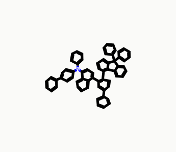 c1ccc(-c2ccc(N(c3ccccc3)c3ccc(-c4cc(-c5ccccc5)ccc4-c4cccc5c4-c4ccccc4C5(c4ccccc4)c4ccccc4)c4ccccc34)cc2)cc1